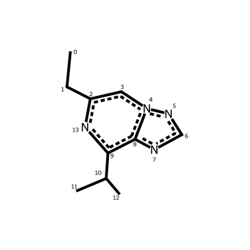 CCc1cn2ncnc2c(C(C)C)n1